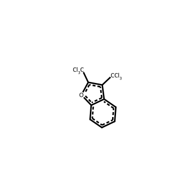 ClC(Cl)(Cl)c1oc2ccccc2c1C(Cl)(Cl)Cl